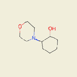 O[C@@H]1CCCC[C@H]1N1CCOCC1